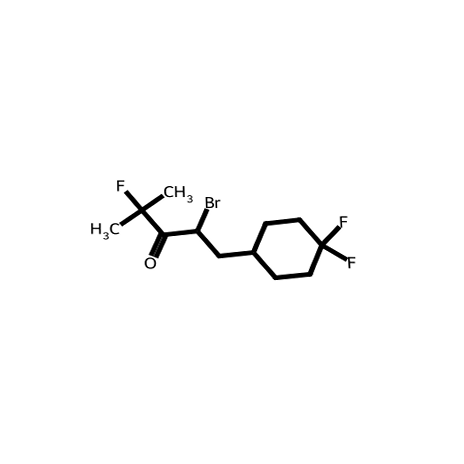 CC(C)(F)C(=O)C(Br)CC1CCC(F)(F)CC1